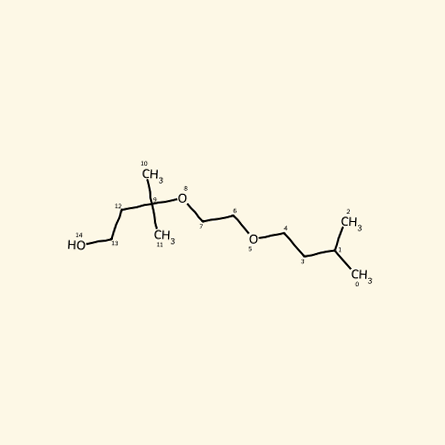 CC(C)CCOCCOC(C)(C)CCO